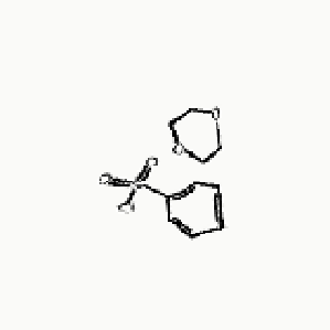 C1COCCO1.O=S(=O)(Cl)c1ccccc1